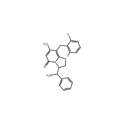 Cc1cc(=O)n2c(c1Cc1c(F)cccc1F)SCC2C(N)c1ccccc1